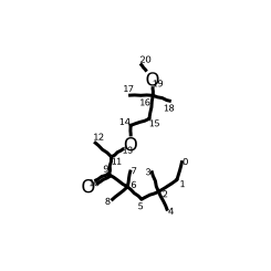 CCC(C)(C)CC(C)(C)C(=O)C(C)OCCC(C)(C)OC